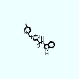 Cc1ccc(Cn2cnc(C(=O)Nc3c[nH]c4ccccc34)c2)nc1